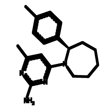 Cc1ccc([C@H]2CCCCCN2c2cc(C)nc(N)n2)cc1